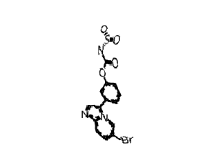 O=C(N=S(=O)=O)Oc1cccc(-c2cnc3ccc(Br)cn23)c1